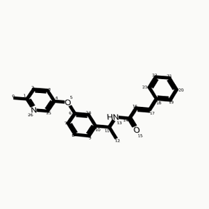 Cc1ccc(Oc2cccc(C(C)NC(=O)C=Cc3ccccc3)c2)cn1